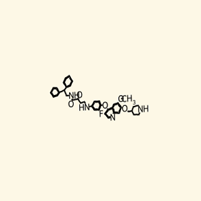 COc1cc2c(Oc3ccc(NCCC(=O)C(=O)NCC(c4ccccc4)c4ccccc4)cc3F)ccnc2cc1OCC1CCNCC1